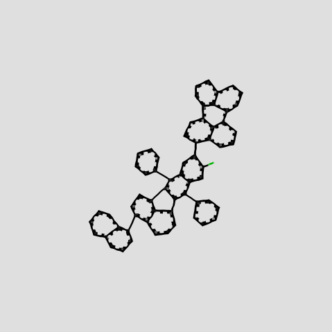 Clc1cc2c(-c3ccccc3)c3c(c(-c4ccccc4)c2cc1-c1ccc2c4cccc5cccc(c6cccc1c62)c54)-c1ccc(-c2cccc4ccccc24)c2cccc-3c12